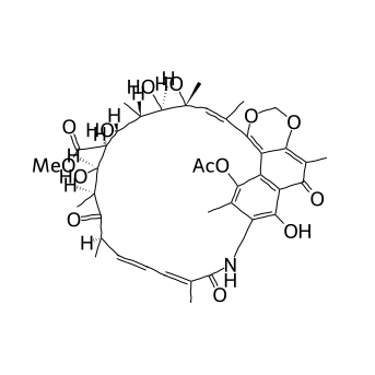 COC(=O)[C@H]1[C@H](O)[C@H](C)[C@@H](O)[C@](C)(O)/C=C(/C)C2=C3C(=C(C)C(=O)c4c(O)c(c(C)c(OC(C)=O)c43)NC(=O)/C(C)=C\C=C\[C@@H](C)C(=O)[C@@H](C)[C@H]1O)OCO2